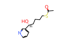 CC(=O)SCCCC[C@@H](O)c1cccnc1